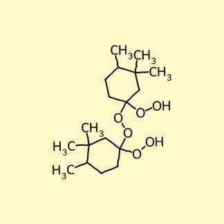 CC1CCC(OO)(OOC2(OO)CCC(C)C(C)(C)C2)CC1(C)C